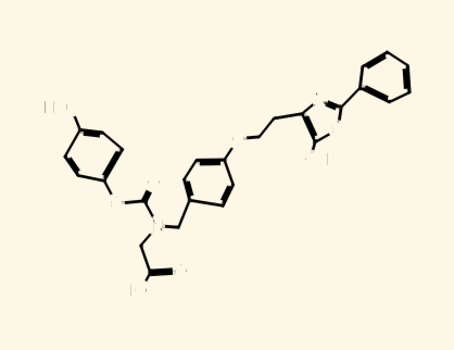 Cc1ccc(OC(=O)N(CC(=O)O)Cc2ccc(OCCc3nc(-c4ccccc4)oc3C)cc2)cc1